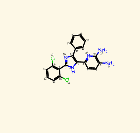 Nc1ccc(-c2[nH]c(-c3c(Cl)cccc3Cl)nc2-c2ccccc2)nc1N